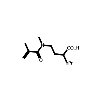 C=C(C)C(=O)N(C)CCC(CCC)C(=O)O